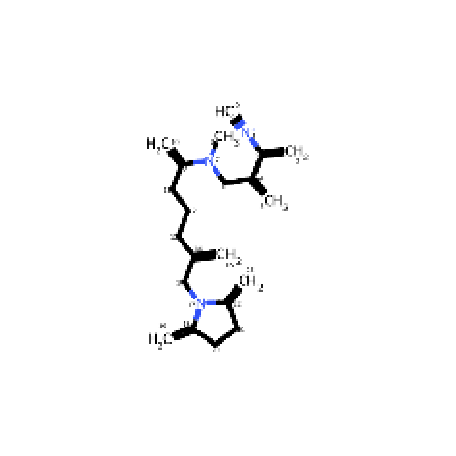 C#[N+]C(=C)C(=C)CN(C)C(=C)CCCC(=C)CN1C(=C)CCC1=C